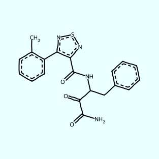 Cc1ccccc1-c1nsnc1C(=O)NC(Cc1ccccc1)C(=O)C(N)=O